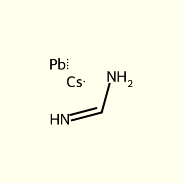 N=CN.[Cs].[Pb]